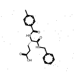 Cc1ccc(C(=O)N[C@@H](CCC(=O)O)C(=O)NCc2ccccc2)cc1